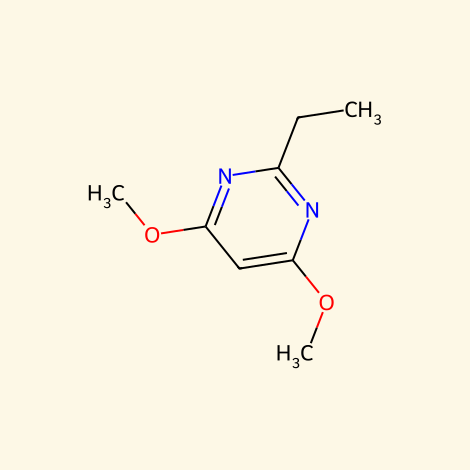 CCc1nc(OC)cc(OC)n1